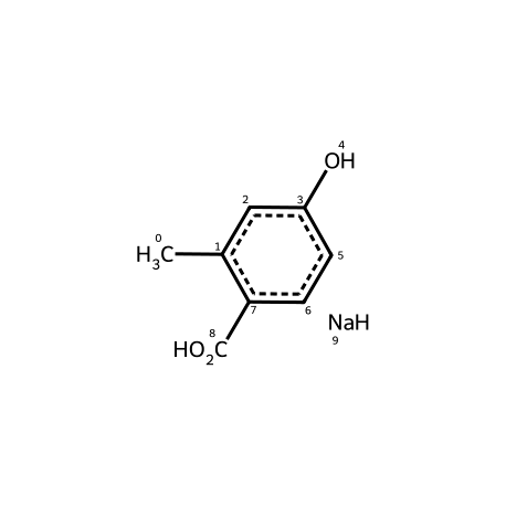 Cc1cc(O)ccc1C(=O)O.[NaH]